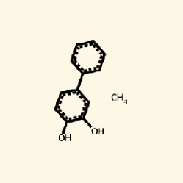 C.Oc1ccc(-c2ccccc2)cc1O